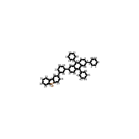 c1ccc(-c2ccc3c(-c4ccccc4)c4cc(-c5cccc(-c6ccc7sc8ccccc8c7c6)c5)ccc4c(-c4ccccc4)c3c2)cc1